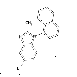 Cc1nc2cc(Br)ccc2n1-c1cccc2ccccc12